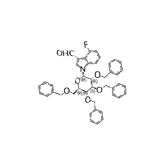 O=Cc1cn([C@@H]2O[C@H](COCc3ccccc3)[C@@H](OCc3ccccc3)[C@H](OCc3ccccc3)[C@H]2OCc2ccccc2)c2cccc(F)c12